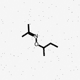 [CH2]C(C)=NOC(C)CC